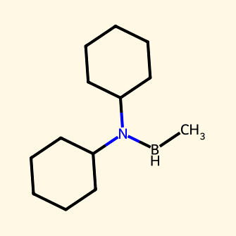 CBN(C1CCCCC1)C1CCCCC1